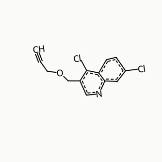 C#CCOCc1cnc2cc(Cl)ccc2c1Cl